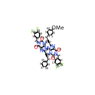 COc1ccc(CC#Cc2nc3c(=O)n(Cc4ccc(F)c(F)c4)c(=O)n(C)c3n2-n2c(C#CCc3ccccc3)nc3c(=O)n(Cc4ccc(F)c(F)c4)c(=O)n(C)c32)cc1